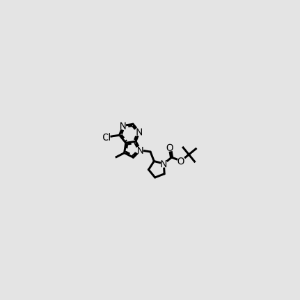 Cc1cn(CC2CCCN2C(=O)OC(C)(C)C)c2ncnc(Cl)c12